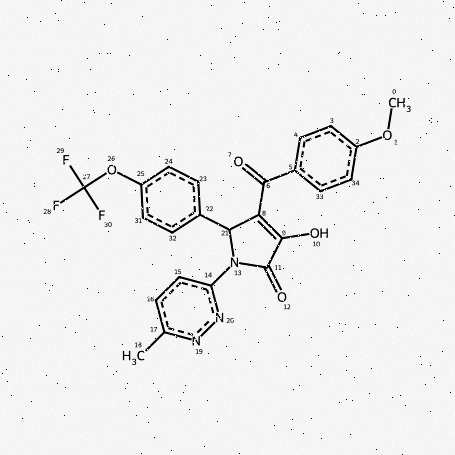 COc1ccc(C(=O)C2=C(O)C(=O)N(c3ccc(C)nn3)C2c2ccc(OC(F)(F)F)cc2)cc1